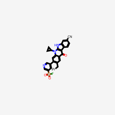 CC(C)Cc1cc2c(=O)c3c4ccc(C#N)cc4[nH]c3n(C3CC3)c2cc1-c1cncc(S(=O)(=O)F)c1